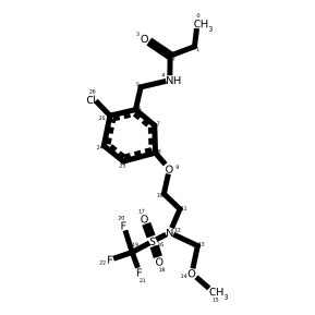 CCC(=O)NCc1cc(OCCN(COC)S(=O)(=O)C(F)(F)F)ccc1Cl